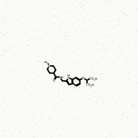 CC(=O)N1CCC(C(=O)NCc2cc3ccc(OC(C(=O)O)C(=O)O)cc3[nH]2)CC1